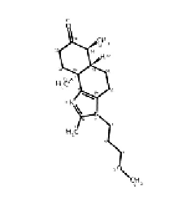 COCCCn1c(C)nc2c1CC[C@H]1[C@H](C)C(=O)CC[C@]21C